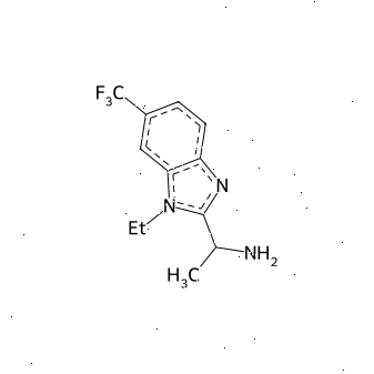 CCn1c(C(C)N)nc2ccc(C(F)(F)F)cc21